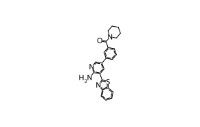 Nc1ncc(-c2cccc(C(=O)N3CCCCC3)c2)cc1-c1nc2ccccc2s1